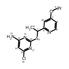 CC(C)Oc1ccnc(C(C)Sc2nc(N)cc(Cl)n2)c1